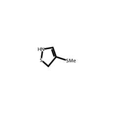 CSC1=CNSC1